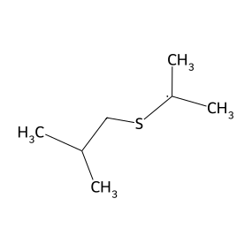 C[C](C)SCC(C)C